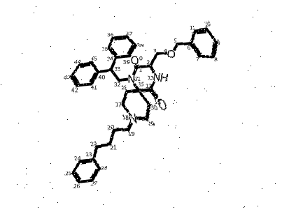 O=C1C(COCc2ccccc2)NC(=O)C2(CCN(CCCCc3ccccc3)CC2)N1CC(c1ccccc1)c1ccccc1